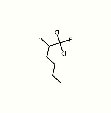 [CH2]C(CCCC)C(F)(Cl)Cl